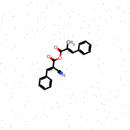 C/C(=C\c1ccccc1)C(=O)OC(=O)/C(C#N)=C/c1ccccc1